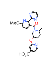 COc1ccc(C(=O)N2CC(Oc3cc(C(=O)O)ccn3)CCC2C)c(-c2ncccn2)n1